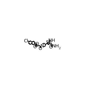 N=c1sc(C2CCN(C(=O)CCS(=O)(=O)c3ccc4cc(Cl)ccc4c3)CC2)cn1CC(N)=O